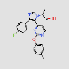 Cc1ccc(Oc2nccc(-c3c(-c4ccc(F)cc4)ncn3C(C)CO)n2)cc1